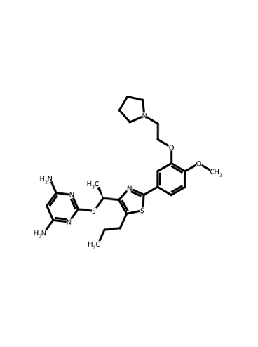 CCCc1sc(-c2ccc(OC)c(OCCN3CCCC3)c2)nc1[C@H](C)Sc1nc(N)cc(N)n1